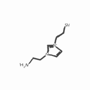 NCCn1cc[n+](CCS)c1